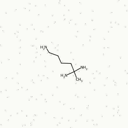 CC(N)(N)CCCCN